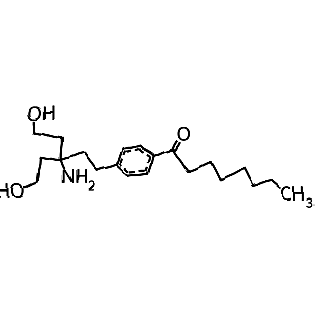 CCCCCCCC(=O)c1ccc(CCC(N)(CCO)CCO)cc1